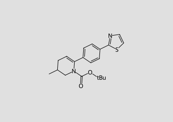 CC1CC=C(c2ccc(-c3nccs3)cc2)N(C(=O)OC(C)(C)C)C1